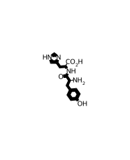 N[C@H](Cc1ccc(O)cc1)C(=O)N[C@H](Cc1c[nH]cn1)C(=O)O